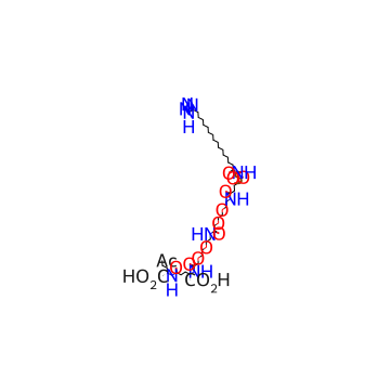 CC(=O)CC[C@H](NC(=O)CC[C@H](NC(=O)COCCOCCNC(=O)COCCOCCNC(=O)CCCS(=O)(=O)NC(=O)CCCCCCCCCCCCCCCc1nnn[nH]1)C(=O)O)C(=O)O